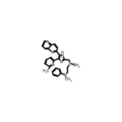 BN(CCN(C)c1ccccc1)Cc1nc(-c2cccc(C)n2)c(-c2ccc3ncccc3n2)[nH]1